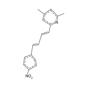 Cc1cc(C)nc(/C=C/C=C/c2ccc([N+](=O)[O-])cc2)c1